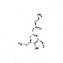 CCOC(=O)Cc1cc(C=O)c(O)c(OC)c1